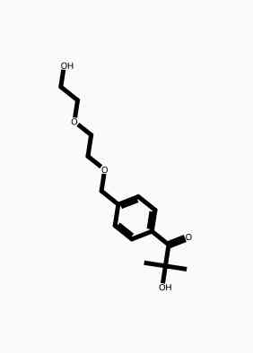 CC(C)(O)C(=O)c1ccc(COCCOCCO)cc1